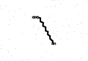 [NH]CCCCCCCCCCC[C]=O